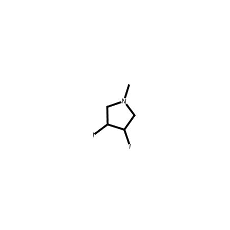 CN1CC(I)C(I)C1